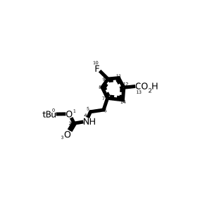 CC(C)(C)OC(=O)NCCc1cc(F)cc(C(=O)O)c1